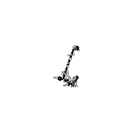 CCCO[C@H](C[C@H](C(C)C)N(CCC)C(=O)[C@@H](NC(=O)[C@H]1CCCCN1C)[C@@H](C)CC)c1nc(C(=O)N[C@@H](Cc2ccc(O)cc2)C[C@H](C)C(=O)NNC(=O)OCCOCCOCCOCCNC(=O)CCCC(=O)ON2C(=O)CCC2=O)cs1